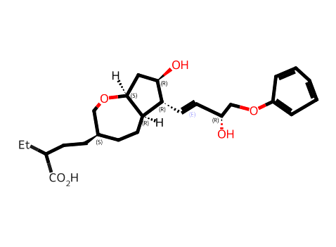 CCC(CC[C@@H]1CC[C@@H]2[C@@H](/C=C/[C@@H](O)COc3ccccc3)[C@H](O)C[C@@H]2OC1)C(=O)O